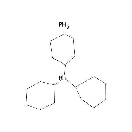 C1CC[CH]([Rh]([CH]2CCCCC2)[CH]2CCCCC2)CC1.P